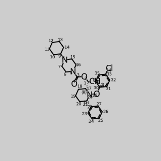 CC(OC(=O)N1CCN(C2CCCCC2)CC1)[C@H]1CCC[C@@H](c2ccccc2)N1Oc1ccc(Cl)cc1